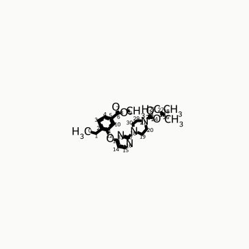 CCc1ccc(C(=O)OC)cc1Oc1ccnc(N2CCN(C(=O)OC(C)(C)C)CC2)n1